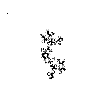 C=CC(=O)OCC(COC(=O)C=C)(COC(=O)C=C)COC(=O)Nc1cccc(NC(=O)OCC(COC(=O)C=C)(COC(=O)C=C)COC(=O)C=C)c1